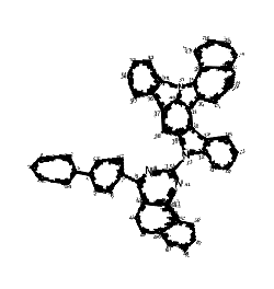 c1ccc(-c2ccc(-c3nc(-n4c5ccccc5c5c6c7ccc8ccccc8c7n7c8ccccc8c(cc54)c67)nc4c3ccc3ccccc34)cc2)cc1